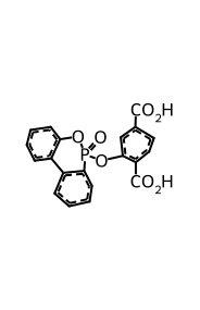 O=C(O)c1ccc(C(=O)O)c(OP2(=O)Oc3ccccc3-c3ccccc32)c1